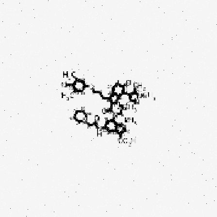 Cc1cc(OCCCc2c3n(c4c(-c5c(C)nn(C)c5C)c(Cl)ccc24)[C@H](C)CN(c2cc(NC(=O)CN4CCCCC4)cc4c(C(=O)O)cn(C)c24)C3=O)cc(C)c1Cl